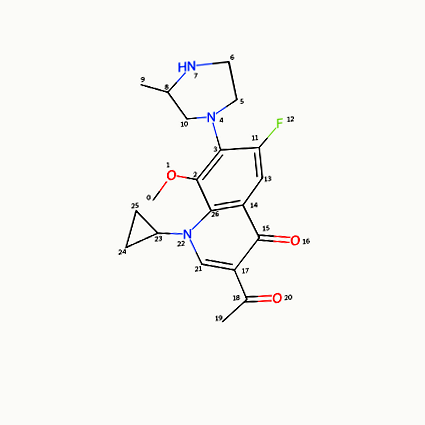 COc1c(N2CCNC(C)C2)c(F)cc2c(=O)c(C(C)=O)cn(C3CC3)c12